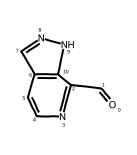 O=Cc1nccc2cn[nH]c12